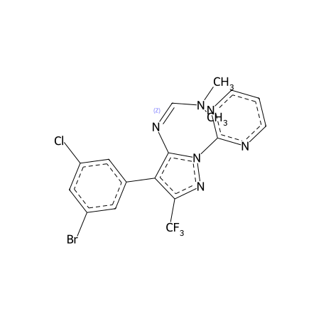 CN(C)/C=N\c1c(-c2cc(Cl)cc(Br)c2)c(C(F)(F)F)nn1-c1ncccn1